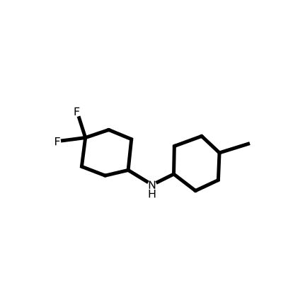 CC1CCC(NC2CCC(F)(F)CC2)CC1